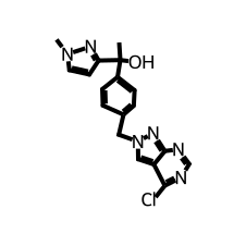 Cn1ccc(C(C)(O)c2ccc(Cn3cc4c(Cl)ncnc4n3)cc2)n1